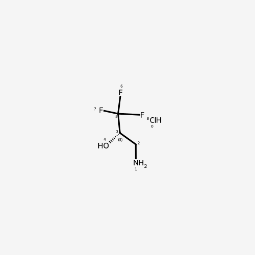 Cl.NC[C@H](O)C(F)(F)F